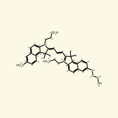 CC1(C)C(C=C/C=C2/N(CCS(=O)(=O)O)c3ccc4cc(S(=O)(=O)O)ccc4c3C2(C)C)=[N+](CCS(=O)(=O)O)c2ccc3cc(SOOO)ccc3c21